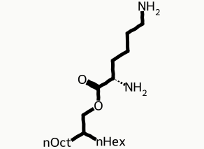 CCCCCCCCC(CCCCCC)COC(=O)[C@@H](N)CCCCN